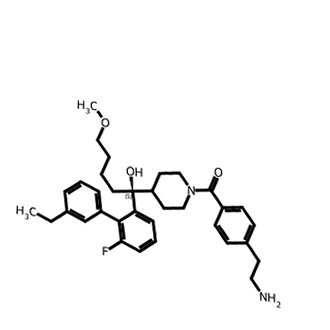 CCc1cccc(-c2c(F)cccc2[C@](O)(CCCCOC)C2CCN(C(=O)c3ccc(CCN)cc3)CC2)c1